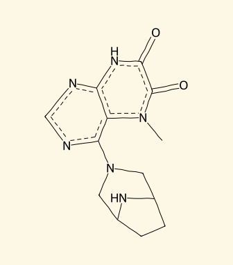 Cn1c(=O)c(=O)[nH]c2ncnc(N3CC4CCC(C3)N4)c21